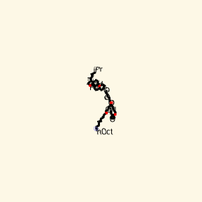 CCCCCCCC/C=C\CCCCCCCCOCC(CN1CCC2(CC1)COC2)OCCOCCO[C@H]1CC[C@@]2(C)C(=CC[C@@H]3[C@@H]2CC[C@]2(C)C([C@@H](C)CCCC(C)C)CC[C@@H]32)C1